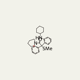 CSC(C(=O)N1CCCCC1)(c1ccccc1)c1ccccc1NC1CCCCC1